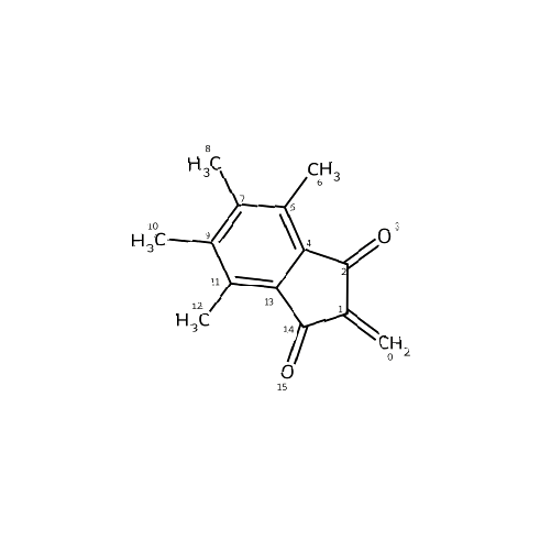 C=C1C(=O)c2c(C)c(C)c(C)c(C)c2C1=O